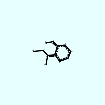 C/C=c1/cccc/c1=C(\C)CC